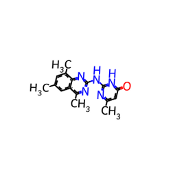 Cc1cc(C)c2nc(Nc3nc(C)cc(=O)[nH]3)nc(C)c2c1